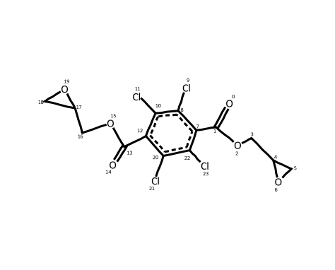 O=C(OCC1CO1)c1c(Cl)c(Cl)c(C(=O)OCC2CO2)c(Cl)c1Cl